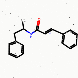 CCC(Cc1ccccc1)NC(=O)/C=C/c1ccccc1